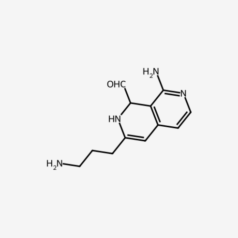 NCCCC1=Cc2ccnc(N)c2C(C=O)N1